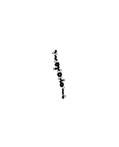 C=CC(=O)OCCCCOc1ccc(/C=C(\C#N)C(=O)Oc2ccc(SC(=O)/C(C#N)=C/c3ccc(OCCCCOC(=O)C=C)cc3)cc2)cc1